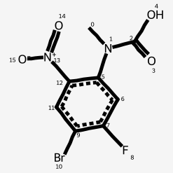 CN(C(=O)O)c1cc(F)c(Br)cc1[N+](=O)[O-]